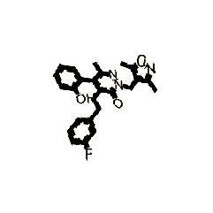 Cc1noc(C)c1Cn1nc(C)c(-c2ccccc2O)c(CCc2cccc(F)c2)c1=O